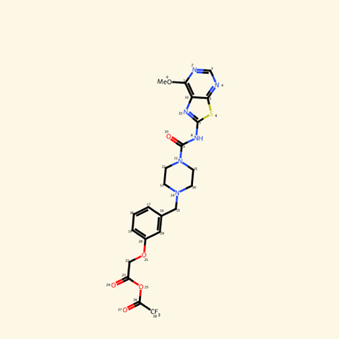 COc1ncnc2sc(NC(=O)N3CCN(Cc4cccc(OCC(=O)OC(=O)C(F)(F)F)c4)CC3)nc12